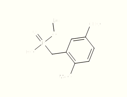 CCC(C)OP(=O)(O)Cc1cc(C=O)ccc1OC